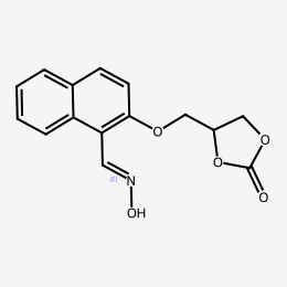 O=C1OCC(COc2ccc3ccccc3c2/C=N/O)O1